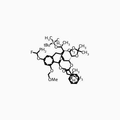 COCOc1cc(OC(F)P)cc(CCC[C@@H]2OC(C)(C)O[C@@H]2C(/C=C\[C@@H](C)[C@H](C)O[Si](C)(C)C(C)(C)C)OC(=O)c2ccccc2)c1C(=O)OCC[Si](C)(C)C